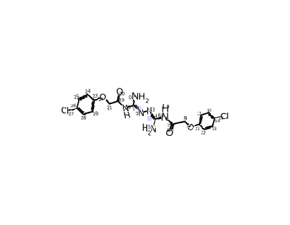 N/C(=N\N=C(/N)NC(=O)COc1ccc(Cl)cc1)NC(=O)COc1ccc(Cl)cc1